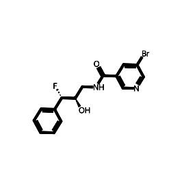 O=C(NC[C@@H](O)[C@@H](F)c1ccccc1)c1cncc(Br)c1